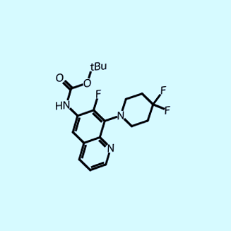 CC(C)(C)OC(=O)Nc1cc2cccnc2c(N2CCC(F)(F)CC2)c1F